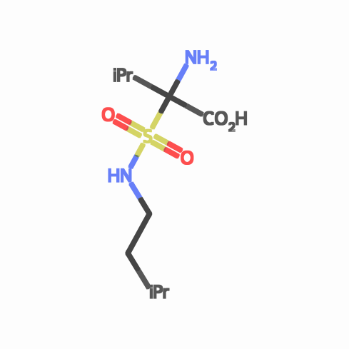 CC(C)CCNS(=O)(=O)C(N)(C(=O)O)C(C)C